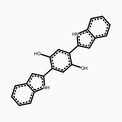 Oc1cc(-c2cc3ccccc3[nH]2)c(O)cc1-c1cc2ccccc2[nH]1